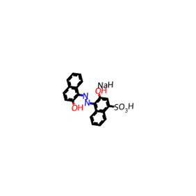 O=S(=O)(O)c1cc(O)c(N=Nc2c(O)ccc3ccccc23)c2ccccc12.[NaH]